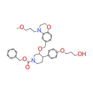 COCCCN1CCOc2ccc(COC3CN(C(=O)OCc4ccccc4)CCC3c3ccc(OCCCO)cc3)cc21